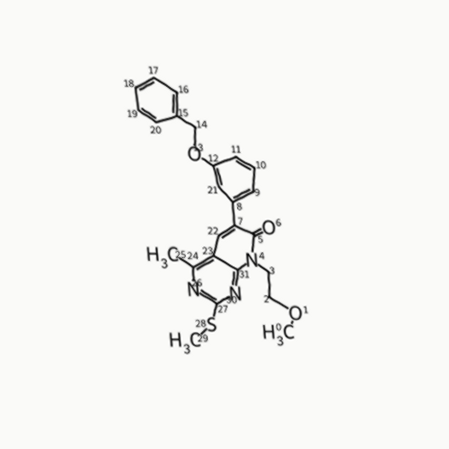 COCCn1c(=O)c(-c2cccc(OCc3ccccc3)c2)cc2c(C)nc(SC)nc21